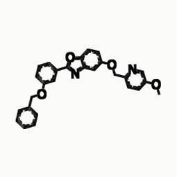 COc1ccc(COc2ccc3oc(-c4cccc(OCc5ccccc5)c4)nc3c2)nc1